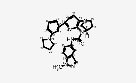 Cn1ncc2cc(NC(=O)N3c4nc(-c5cccc(N6CCCC6)c5)ccc4N4CC[C@H]3C4)ccc21